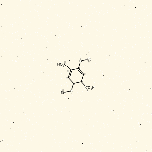 CCOC1=CC(C(=O)O)C(OCC)C=C1C(=O)O